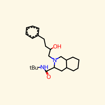 CC(C)(C)NC(=O)C1CC2CCCCC2CN1CC(O)CCc1ccccc1